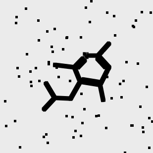 Cc1cc(C)c(CC(C)C)c(C)n1